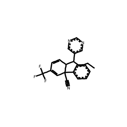 CCCC(c1cncnc1)C1C=CC(C(F)(F)F)=CC1(C#N)c1ccccc1